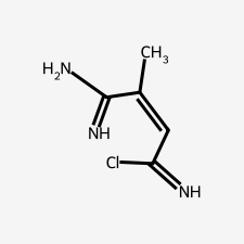 C/C(=C/C(=N)Cl)C(=N)N